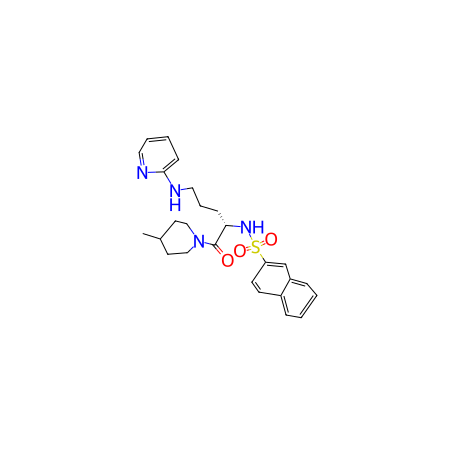 CC1CCN(C(=O)[C@H](CCCNc2ccccn2)NS(=O)(=O)c2ccc3ccccc3c2)CC1